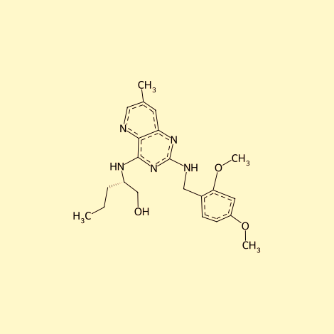 CCC[C@@H](CO)Nc1nc(NCc2ccc(OC)cc2OC)nc2cc(C)cnc12